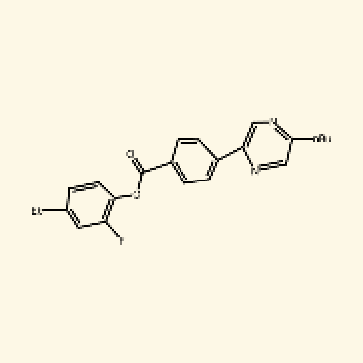 CCCCc1cnc(-c2ccc(C(=O)Oc3ccc(CC)cc3F)cc2)cn1